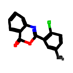 O=c1oc(-c2cc([N+](=O)[O-])ccc2Cl)nc2ccccc12